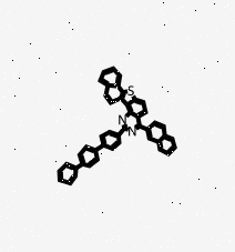 c1ccc(-c2ccc(-c3ccc(-c4nc(-c5ccc6ccccc6c5)c5ccc6sc7c8ccccc8ccc7c6c5n4)cc3)cc2)cc1